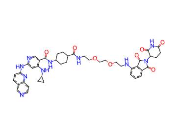 O=C1CCC(N2C(=O)c3cccc(NCCOCCOCCNC(=O)C4CCC(NC(=O)c5cnc(Nc6ccc7cnccc7n6)cc5NC5CC5)CC4)c3C2=O)C(=O)N1